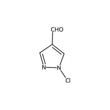 O=Cc1cnn(Cl)c1